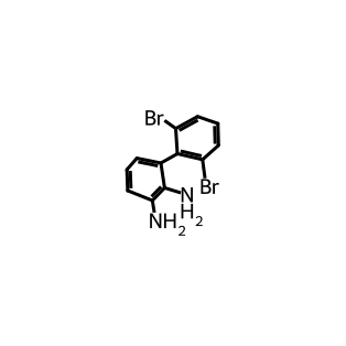 Nc1cccc(-c2c(Br)cccc2Br)c1N